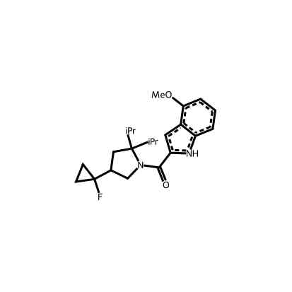 COc1cccc2[nH]c(C(=O)N3CC(C4(F)CC4)CC3(C(C)C)C(C)C)cc12